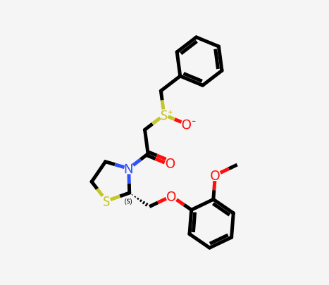 COc1ccccc1OC[C@@H]1SCCN1C(=O)C[S+]([O-])Cc1ccccc1